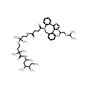 CCC(C)C(C)CC(C)NC(=O)C(C)(C)CCOC(C)(C)CCNC(=O)CCC(=O)N1Cc2ccccc2-c2c(nnn2C(O)COC(C)C)-c2ccccc21